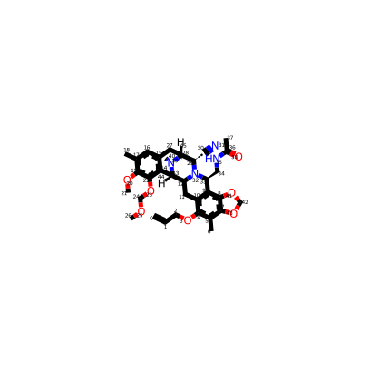 C=CCOc1c(C)c2c(c3c1CC1[C@@H]4c5c(cc(C)c(OC)c5OCOC)C[C@H]([C@H](C#N)N1[C@H]3CNC(C)=O)N4C)OCO2